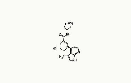 Cc1c[nH]c2nccc(N3C=C(C(=O)N[C@H]4CCNC4)SCC3)c12.Cl